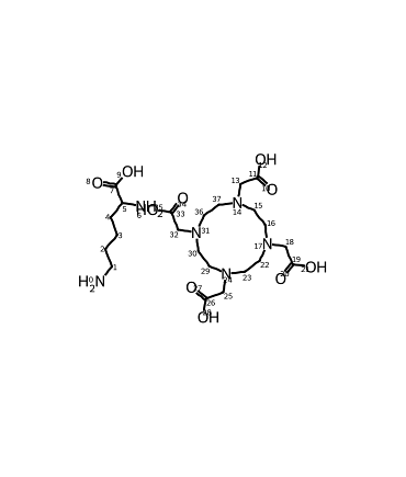 NCCCCC(N)C(=O)O.O=C(O)CN1CCN(CC(=O)O)CCN(CC(=O)O)CCN(CC(=O)O)CC1